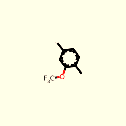 [CH2]c1ccc(C)c(OC(F)(F)F)c1